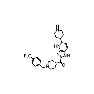 O=C(c1nc2c([nH]1)C=CC(C1CCNCC1)N2)N1CCN(Cc2ccc(C(F)(F)F)cc2)CC1